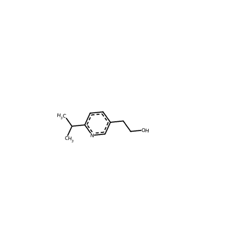 CC(C)c1ccc(CCO)cn1